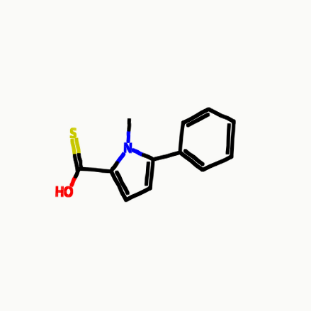 Cn1c(C(O)=S)ccc1-c1ccccc1